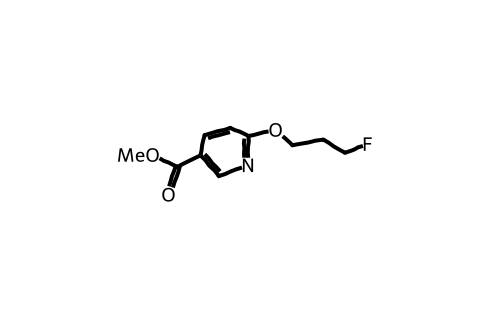 COC(=O)c1ccc(OCCCF)nc1